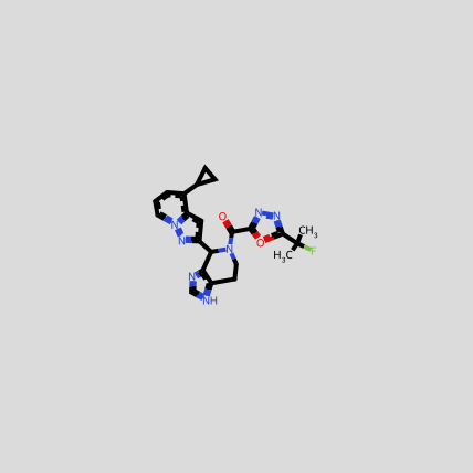 CC(C)(F)c1nnc(C(=O)N2CCc3[nH]cnc3C2c2cc3c(C4CC4)cccn3n2)o1